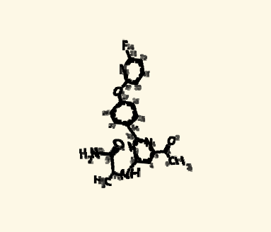 CC(=O)c1cc(N[C@@H](C)C(N)=O)nc(-c2ccc(Oc3cccc(F)n3)cc2)n1